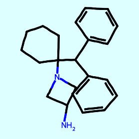 NC1CN(C2(C(c3ccccc3)c3ccccc3)CCCCC2)C1